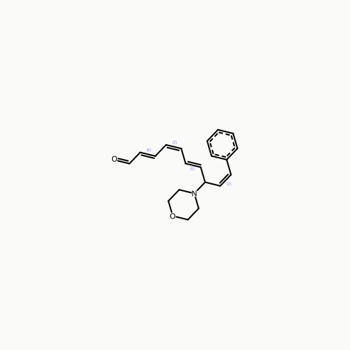 O=C/C=C/C=C\C=C\C(/C=C\c1ccccc1)N1CCOCC1